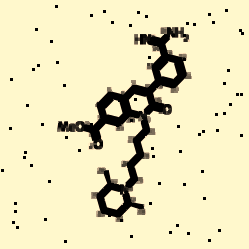 COC(=O)c1ccc2cc(-c3cccc(C(=N)N)c3)c(=O)n(CCCCCN3[C@H](C)CCC[C@@H]3C)c2c1